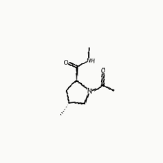 CNC(=O)[C@@H]1C[C@@H](C)CN1C(C)=O